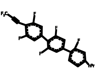 CCCc1ccc(-c2cc(F)c(-c3cc(F)c(C#CC(F)(F)F)c(F)c3)c(F)c2)c(F)c1